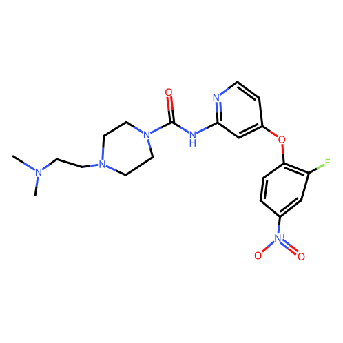 CN(C)CCN1CCN(C(=O)Nc2cc(Oc3ccc([N+](=O)[O-])cc3F)ccn2)CC1